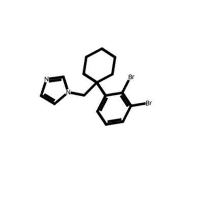 Brc1cccc(C2(Cn3ccnc3)CCCCC2)c1Br